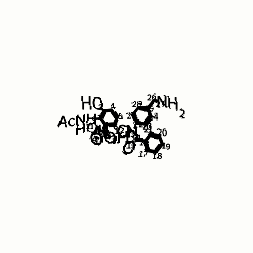 CC(=O)Nc1c(O)cccc1[As](=O)(O)O.CN(C(=O)c1ccccc1)c1ccc(CN)cc1